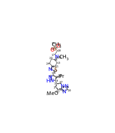 COc1cc(-c2[nH]nc(-c3nc4c(s3)CC(N(C)CCS(C)(=O)=O)CC4)c2C(C)C)cn2ncnc12